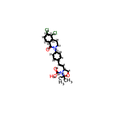 CC1(C)OCC(/C=C/c2ccc(N3CCc4c(ccc(Cl)c4Cl)C3=O)cc2)N1C(=O)O